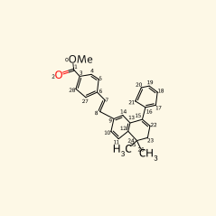 COC(=O)c1ccc(C=Cc2ccc3c(c2)C(c2ccccc2)=CCC3(C)C)cc1